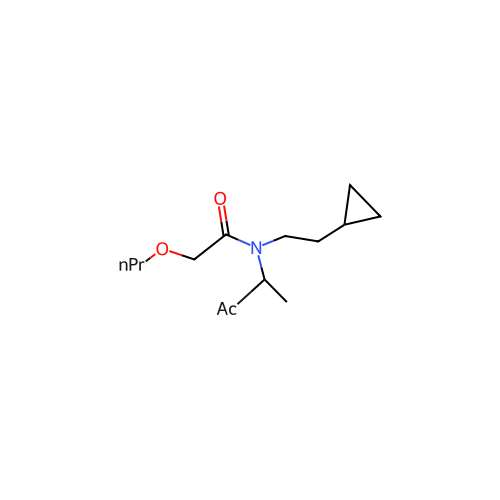 CCCOCC(=O)N(CCC1CC1)C(C)C(C)=O